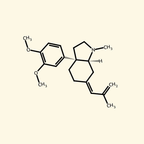 C=C(C)/C=C1/CC[C@@]2(c3ccc(OC)c(OC)c3)CCN(C)[C@H]2C1